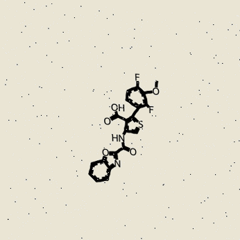 COc1c(F)ccc(-c2scc(NC(=O)c3nc4ccccc4o3)c2C(=O)O)c1F